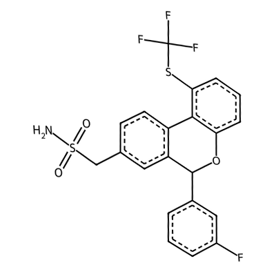 NS(=O)(=O)Cc1ccc2c(c1)C(c1cccc(F)c1)Oc1cccc(SC(F)(F)F)c1-2